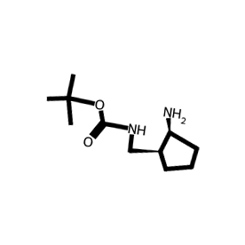 CC(C)(C)OC(=O)NC[C@@H]1CCC[C@@H]1N